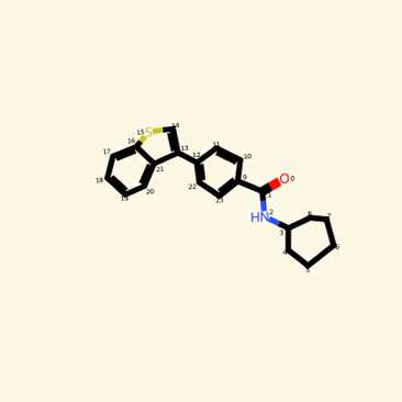 O=C(NC1CCCCC1)c1ccc(-c2csc3ccccc23)cc1